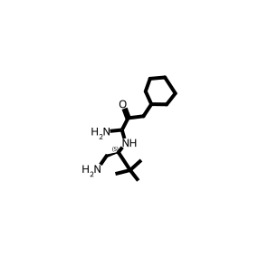 CC(C)(C)[C@@H](CN)NC(N)C(=O)CC1CCCCC1